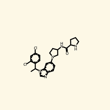 CC(c1ccc(Cl)cc1Cl)n1cnc2ccc(N3CCC(NC(=O)C4CCCN4)C3)cc21